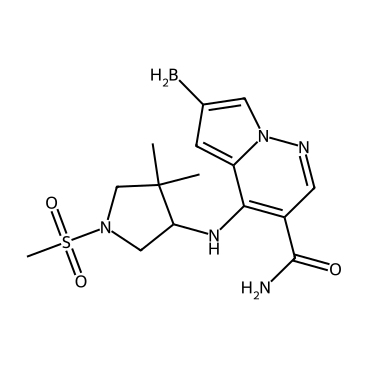 Bc1cc2c(NC3CN(S(C)(=O)=O)CC3(C)C)c(C(N)=O)cnn2c1